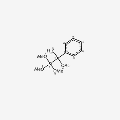 CO[Si](OC)(OC)C(C)(OC(C)=O)c1ccccc1